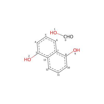 O=CO.Oc1cccc2c(O)cccc12